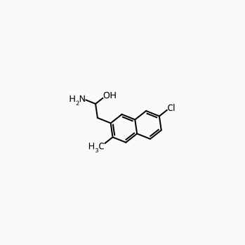 Cc1cc2ccc(Cl)cc2cc1CC(N)O